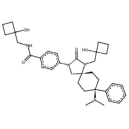 CN(C)[C@]1(c2ccccc2)CC[C@@]2(CC1)CN(c1ccc(C(=O)NCC3(O)CCC3)nc1)C(=O)N2CC1(O)CCC1